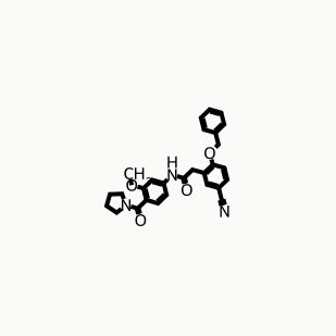 COc1cc(NC(=O)Cc2cc(C#N)ccc2OCc2ccccc2)ccc1C(=O)N1CCCC1